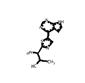 CCCC(c1ncc(-c2ncnc3[nH]ccc23)s1)C(C)C#N